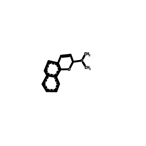 CN(C)C1C=Cc2ccc3ccccc3c2O1